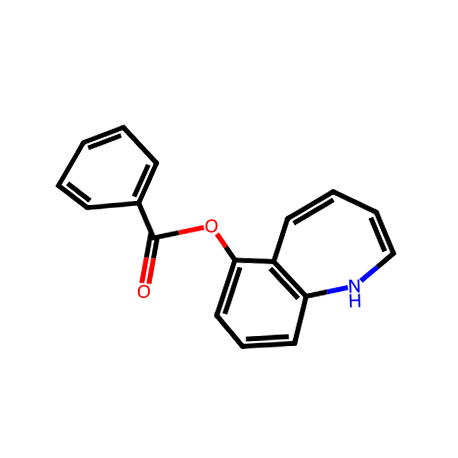 O=C(Oc1cccc2c1C=CC=CN2)c1ccccc1